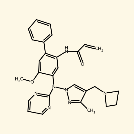 C=CC(=O)Nc1cc(N(c2ncccn2)n2cc(CN3CCC3)c(C)n2)c(OC)cc1-c1ccccc1